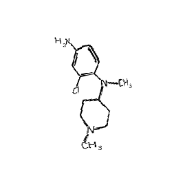 CN1CCC(N(C)c2ccc(N)cc2Cl)CC1